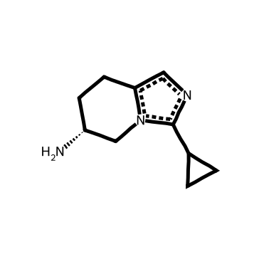 N[C@@H]1CCc2cnc(C3CC3)n2C1